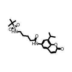 CC(C)c1cc(NC(=O)CCCCNS(=O)(=O)C(C)(C)C)cc2ccc(=O)oc12